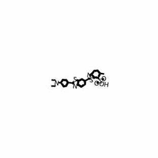 CCN(CC)c1ccc(-c2nc3ccc(-c4nc5ccc(C)c(S(=O)(=O)O)c5s4)cc3s2)cc1